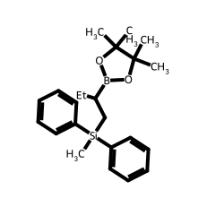 CCC(C[Si](C)(c1ccccc1)c1ccccc1)B1OC(C)(C)C(C)(C)O1